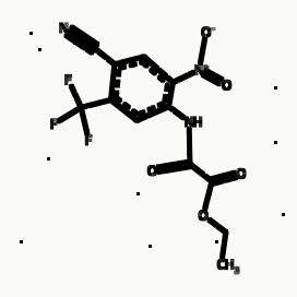 CCOC(=O)C(=O)Nc1cc(C(F)(F)F)c(C#N)cc1[N+](=O)[O-]